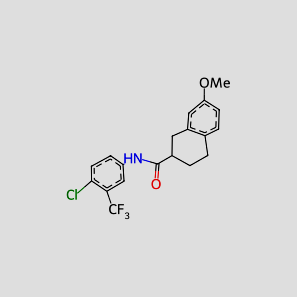 COc1ccc2c(c1)CC(C(=O)Nc1ccc(Cl)c(C(F)(F)F)c1)CC2